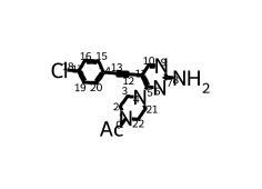 CC(=O)N1CCN(c2nc(N)ncc2C#Cc2ccc(Cl)cc2)CC1